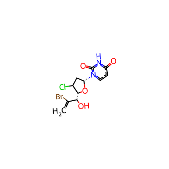 C=C(Br)C(O)[C@H]1O[C@@H](n2ccc(=O)[nH]c2=O)CC1Cl